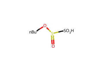 CCCCOS(=O)S(=O)(=O)O